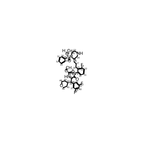 COC(=O)N[C@H](C(=O)Nc1cccc(F)c1CCC[C@H]1CNC[C@@H](C)N1S(=O)(=O)c1ccccc1)[C@@H](c1cc(F)cc(F)c1)C1CCOCC1